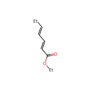 CCC=C/C=C/C(=O)OCC